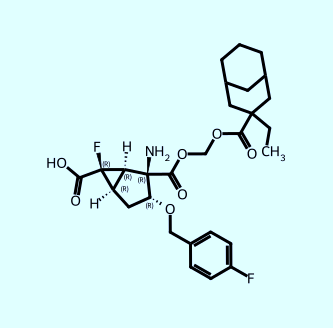 CCC1(C(=O)OCOC(=O)[C@@]2(N)[C@H]3[C@@H](C[C@H]2OCc2ccc(F)cc2)[C@]3(F)C(=O)O)CC2CCCC(C2)C1